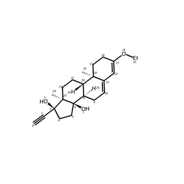 C#C[C@@]1(O)CC[C@@]2(O)[C@@H]3CC=C4C=C(OCC)CC[C@]4(C)[C@H]3CC[C@]12C